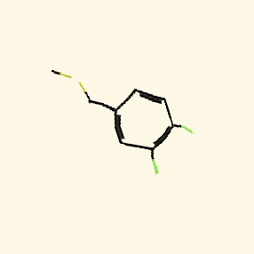 CSCc1ccc(F)c(F)c1